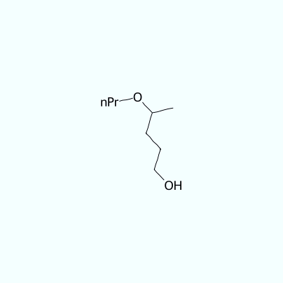 CCCOC(C)CCCO